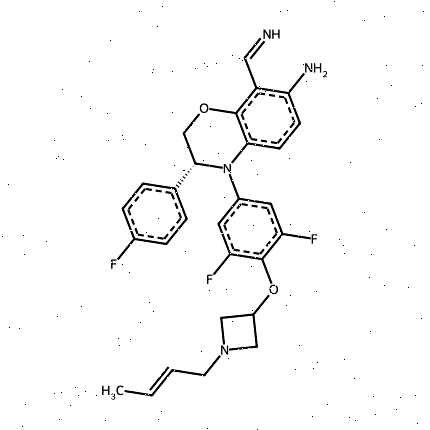 C/C=C/CN1CC(Oc2c(F)cc(N3c4ccc(N)c(C=N)c4OC[C@H]3c3ccc(F)cc3)cc2F)C1